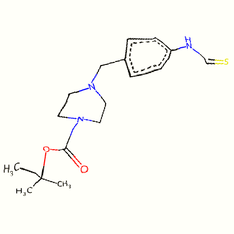 CC(C)(C)OC(=O)N1CCN(Cc2ccc(NC=S)cc2)CC1